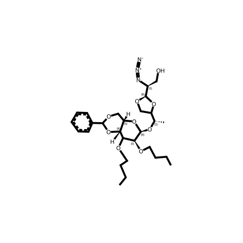 CCCCOC1[C@H](OCCCC)[C@H](O[C@@H](C)C2CO[C@@H]([C@H](CO)N=[N+]=[N-])O2)O[C@H]2COC(c3ccccc3)O[C@@H]12